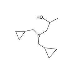 CC(O)CN(CC1CC1)CC1CC1